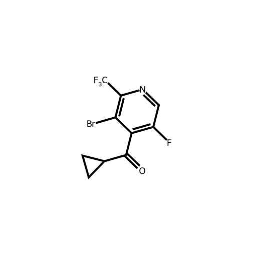 O=C(c1c(F)cnc(C(F)(F)F)c1Br)C1CC1